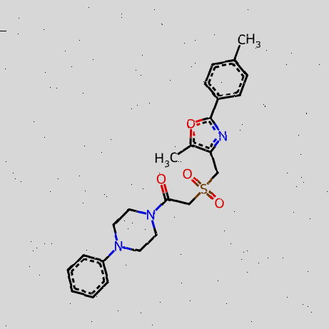 Cc1ccc(-c2nc(CS(=O)(=O)CC(=O)N3CCN(c4ccccc4)CC3)c(C)o2)cc1